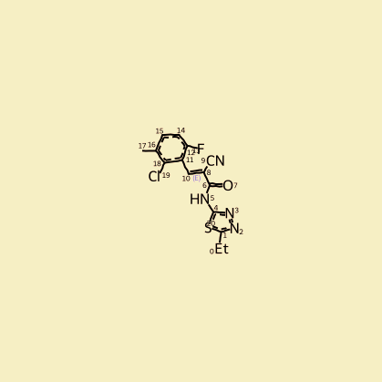 CCc1nnc(NC(=O)/C(C#N)=C/c2c(F)ccc(C)c2Cl)s1